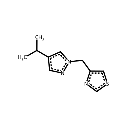 CC(C)c1cnn(Cc2cscn2)c1